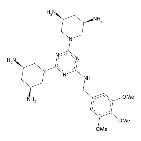 COc1cc(CNc2nc(N3C[C@H](N)C[C@H](N)C3)nc(N3C[C@H](N)C[C@H](N)C3)n2)cc(OC)c1OC